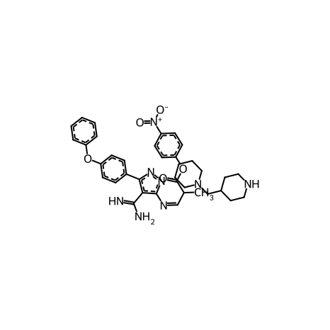 CC(/C=N\c1c(C(=N)N)c(-c2ccc(Oc3ccccc3)cc2)nn1[C@@H]1CCCN(CC2CCNCC2)C1)C(=O)Oc1ccc([N+](=O)[O-])cc1